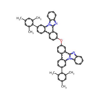 Cc1cc(C)c(-c2ccc3c4ccc(Oc5ccc6c7ccc(-c8c(C)cc(C)cc8C)cc7n7c8ccccc8nc7c6c5)cc4c4nc5ccccc5n4c3c2)c(C)c1